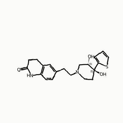 O=C1CCc2cc(CCN3CC[C@@](O)(c4cccs4)[C@@H](O)C3)ccc2N1